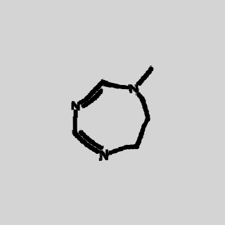 CN1C=NC=NCC1